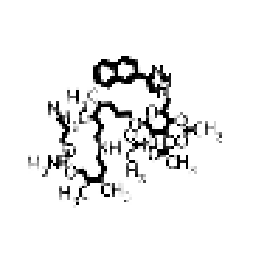 CC(=O)NC1C(OCCCC(C)C(C)CCNCCC(C)C(C)COP(N)OCCC#N)OC(Cn2cc(-c3ccc4ccccc4c3)nn2)C(OC(C)=O)C1OC(C)=O